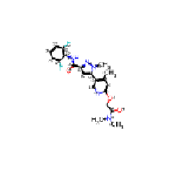 Cc1cc(OCC(=O)N(C)C)ncc1-c1cc(C(=O)Nc2c(F)cccc2F)nn1C